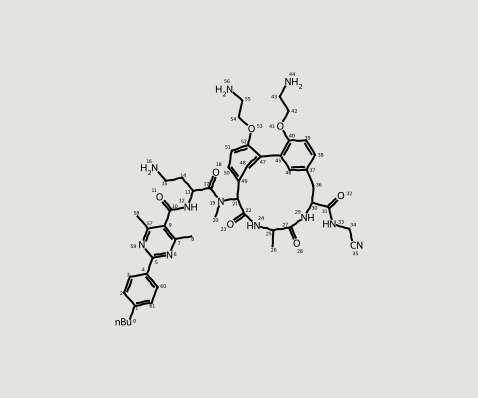 CCCCc1ccc(-c2nc(C)c(C(=O)NC(CCN)C(=O)N(C)C3C(=O)NC(C)C(=O)NC(C(=O)NCC#N)Cc4ccc(OCCN)c(c4)-c4cc3ccc4OCCN)c(C)n2)cc1